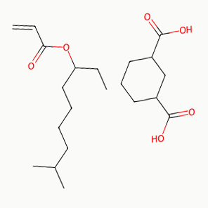 C=CC(=O)OC(CC)CCCCC(C)C.O=C(O)C1CCCC(C(=O)O)C1